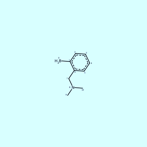 Bc1ccccc1CN(C)C